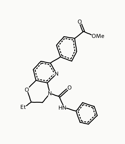 CCC1CN(C(=O)Nc2ccccc2)c2nc(-c3ccc(C(=O)OC)cc3)ccc2O1